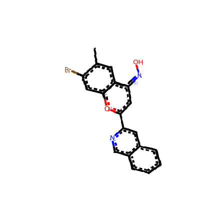 Cc1cc2/c(=N\O)cc(-c3cc4ccccc4cn3)oc2cc1Br